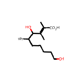 CCCC(CCCCCO)C(O)C(C)=C(C)C(=O)O